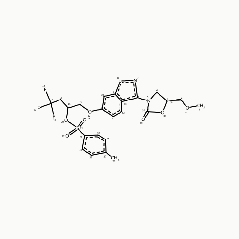 COC[C@@H]1CN(c2noc3cc(OCC(CC(F)(F)F)OS(=O)(=O)c4ccc(C)cc4)ccc23)C(=O)O1